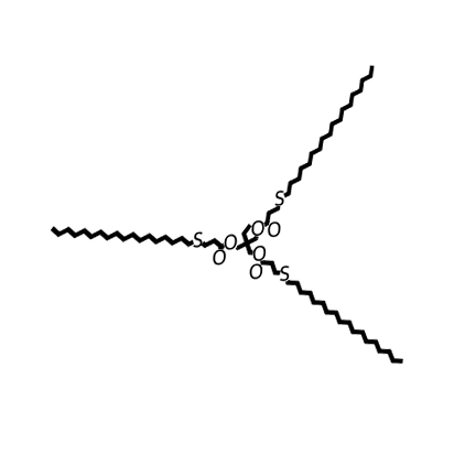 CCCCCCCCCCCCCCCCCCSCCC(=O)OCC(CC)(COC(=O)CCSCCCCCCCCCCCCCCCCCC)COC(=O)CCSCCCCCCCCCCCCCCCCCC